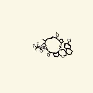 COC1/C=C/CC(C)C(C)S(=O)(NC(=O)C(F)(F)F)=NC(=O)c2ccc3c(c2)N(CC2CCC21)CC1(CCCc2cc(Cl)ccc21)CO3